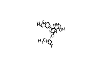 CN1CCN(c2nc(OC[C@@H]3C[C@@H](F)CN3C)nc(C(=O)O)c2N)C[C@@H]1CC#N